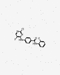 O=C(Nc1ccccc1F)c1ccc(Nc2nc(Cl)ncc2F)cc1